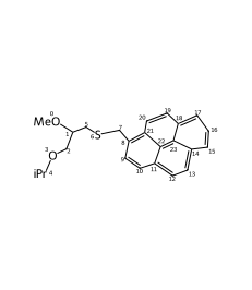 COC(COC(C)C)CSCc1ccc2ccc3cccc4ccc1c2c34